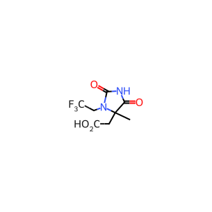 CC1(CC(=O)O)C(=O)NC(=O)N1CC(F)(F)F